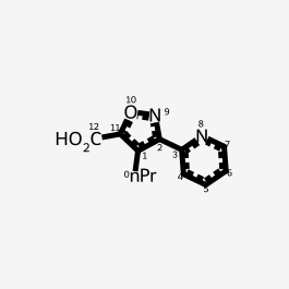 CCCc1c(-c2ccccn2)noc1C(=O)O